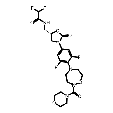 O=C(NC[C@H]1CN(c2cc(F)c(N3CCON(C(=O)N4CCOCC4)CC3)c(F)c2)C(=O)O1)C(F)F